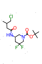 CC(CCl)CC(=O)N[C@H]1CN(C(=O)OC(C)(C)C)CC(F)(F)C1